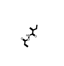 C=CC(=O)ONC(=O)C(=C)CC